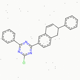 Clc1nc(-c2ccccc2)nc(-c2ccc3c(c2)C=CC(c2ccccc2)C3)n1